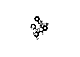 O=C(c1ccc(F)c(NS(=O)(=O)Cc2ccccc2)c1F)c1nn(C2CCCCO2)c2ncc(Br)cc12